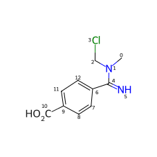 CN(CCl)C(=N)c1ccc(C(=O)O)cc1